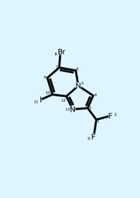 FC(F)c1cn2cc(Br)cc(I)c2n1